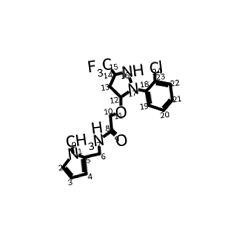 Cn1cccc1CNC(=O)COC1CC(C(F)(F)F)NN1c1ccccc1Cl